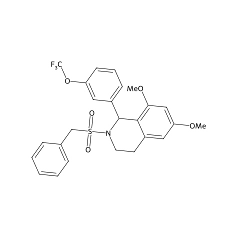 COc1cc2c(c(OC)c1)C(c1cccc(OC(F)(F)F)c1)N(S(=O)(=O)Cc1ccccc1)CC2